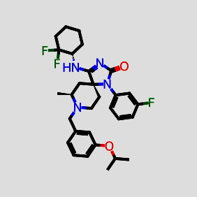 CC(C)Oc1cccc(CN2CC[C@@]3(C[C@@H]2C)C(N[C@H]2CCCCC2(F)F)=NC(=O)N3c2cccc(F)c2)c1